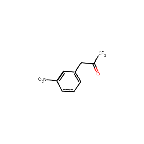 O=C(Cc1cccc([N+](=O)[O-])c1)C(F)(F)F